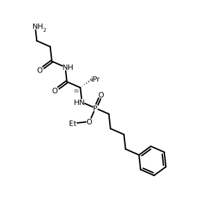 CCOP(=O)(CCCCc1ccccc1)N[C@H](C(=O)NC(=O)CCN)C(C)C